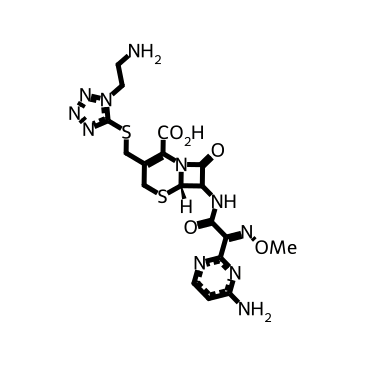 CON=C(C(=O)NC1C(=O)N2C(C(=O)O)=C(CSc3nnnn3CCN)CS[C@@H]12)c1nccc(N)n1